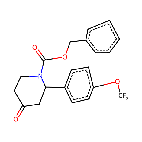 O=C1CCN(C(=O)OCc2ccccc2)C(c2ccc(OC(F)(F)F)cc2)C1